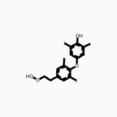 Cc1cc(Oc2c(C)cc(CCOO)cc2I)cc(I)c1O